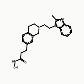 Cc1[nH]c2ccccc2c1CCN1CCc2ccc(CCC(=O)NO)cc2C1